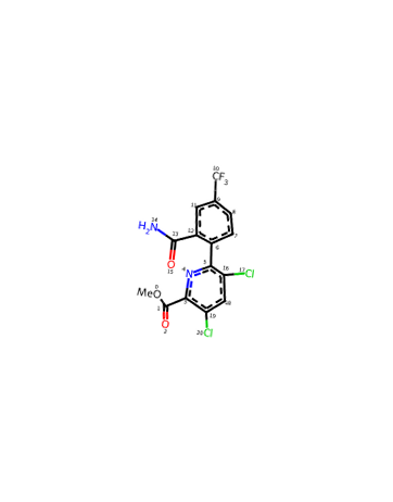 COC(=O)c1nc(-c2ccc(C(F)(F)F)cc2C(N)=O)c(Cl)cc1Cl